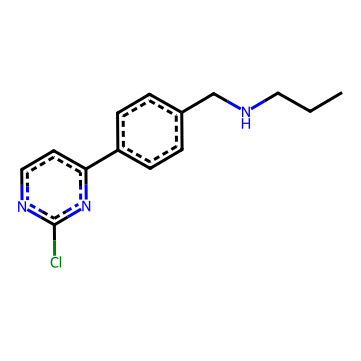 CCCNCc1ccc(-c2ccnc(Cl)n2)cc1